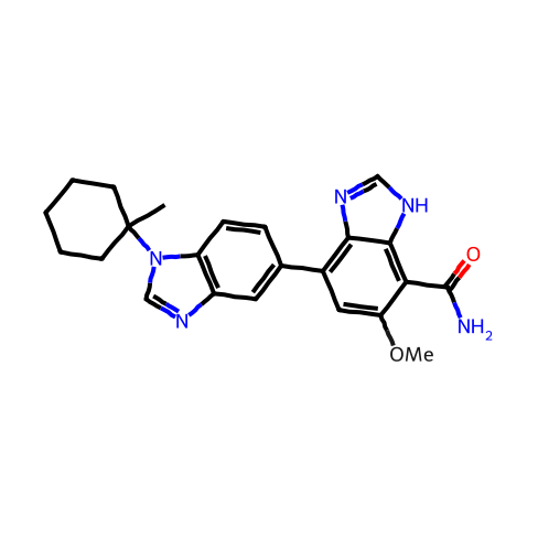 COc1cc(-c2ccc3c(c2)ncn3C2(C)CCCCC2)c2nc[nH]c2c1C(N)=O